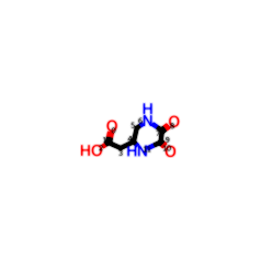 O=C(O)CC1CNC(=O)C(=O)N1